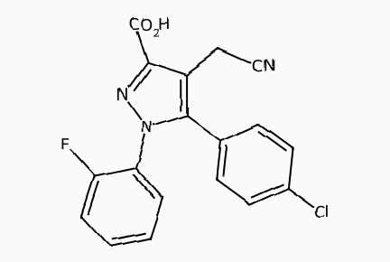 N#CCc1c(C(=O)O)nn(-c2ccccc2F)c1-c1ccc(Cl)cc1